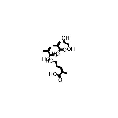 C=C(C)C(=O)O.C=C(C)C(=O)O.CC(=CCCO)C(=O)O.OCCO